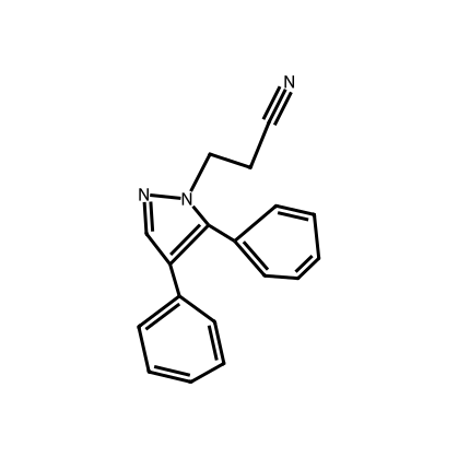 N#CCCn1ncc(-c2ccccc2)c1-c1ccccc1